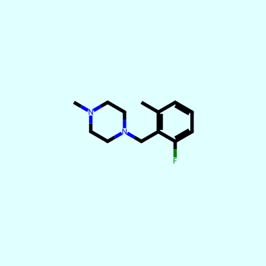 Cc1cccc(F)c1CN1CCN(C)CC1